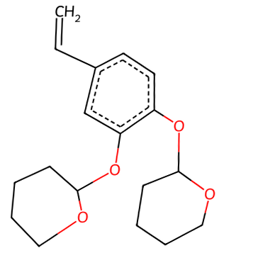 C=Cc1ccc(OC2CCCCO2)c(OC2CCCCO2)c1